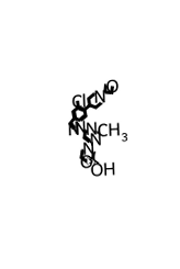 Cc1nc(N2CCO[C@H](CO)C2)cc(-n2ncc3cc(Cl)c(C4CCN(C5COC5)CC4)cc32)n1